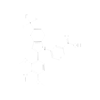 COc1ccc(-c2cc3c(n2-c2cccc(C(=O)O)c2)CCC(C(F)(F)F)C3)c(OC)c1OC